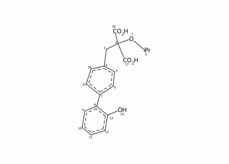 CC(C)OC(Cc1ccc(-c2ccccc2O)cc1)(C(=O)O)C(=O)O